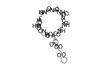 CO[C@@H]1C[C@H](C[C@@H](C)[C@@H]2CC(=O)NCCNC(=O)CN(C)C(=O)[C@H](Cc3ccccc3)NC(=O)[C@H](CC(C)C)N(C)C(=O)[C@H](C)NC(=O)CC[C@@H]3CC[C@@H](C)[C@@](O)(O3)C(=O)C(=O)N3CCCC[C@H]3C(=O)O2)CC[C@H]1OC(=O)CCC(=O)OC1CCCCCCC1